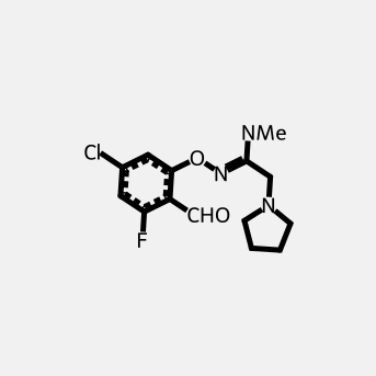 CN/C(CN1CCCC1)=N\Oc1cc(Cl)cc(F)c1C=O